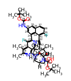 Cc1nc(N2C[C@H]3C[C@@H](O)[C@@H](C2)N3C(=O)OC(C)(C)C)c2cnc(-c3cc(NC(=O)OC(C)(C)C)cc4ccc(F)c(C#C[Si](C(C)C)(C(C)C)C(C)C)c34)c(F)c2c1C